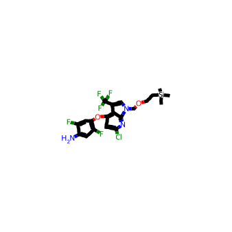 C[Si](C)(C)CCOCn1cc(C(F)(F)F)c2c(Oc3cc(F)c(N)cc3F)cc(Cl)nc21